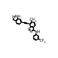 Cc1ccc2c(Nc3cccc(C(F)(F)F)c3)noc2c1C#Cc1ccc2cn[nH]c2c1